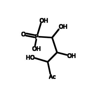 CC(=O)C(O)C(O)C(O)P(=O)(O)O